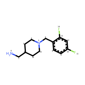 NCC1CCN(Cc2ccc(F)cc2F)CC1